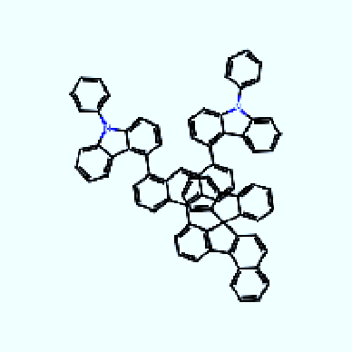 c1ccc(-n2c3ccccc3c3c(-c4cccc5c(-c6cccc7c6C6(c8ccccc8-c8ccccc86)c6ccc8ccccc8c6-7)c6cccc(-c7cccc8c7c7ccccc7n8-c7ccccc7)c6cc45)cccc32)cc1